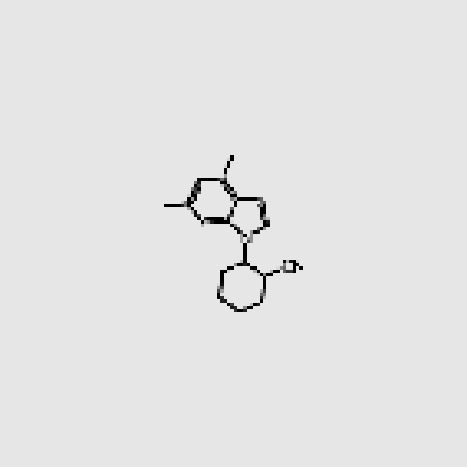 Cc1cc(C)c2ccn(C3CCCCC3C#N)c2c1